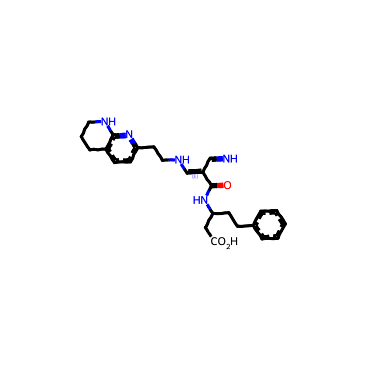 N=C/C(=C\NCCc1ccc2c(n1)NCCC2)C(=O)NC(CCc1ccccc1)CC(=O)O